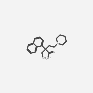 CCC(CCN1CCCCC1)(C(=O)O)c1cccc2ccccc12